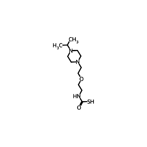 CC(C)N1CCN(CCOCCNC(=O)S)CC1